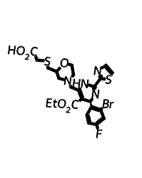 CCOC(=O)C1=C(CN2CCOC(CSCC(=O)O)C2)NC(c2nccs2)=N[C@H]1c1ccc(F)cc1Br